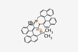 CC(C)(C)[P@@]1Cc2ccc3ccccc3c2-c2c(ccc3ccccc23)C1[C@@H]1c2ccc3ccccc3c2-c2c(ccc3ccccc23)C2[P@]1C2(C)C